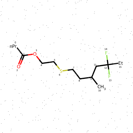 CCCC(=O)OCCSCCC(C)CC(F)(F)CC